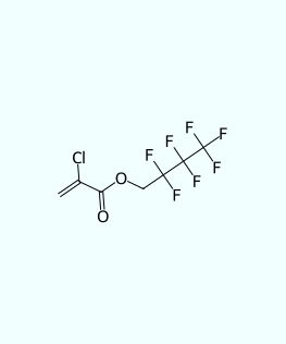 C=C(Cl)C(=O)OCC(F)(F)C(F)(F)C(F)(F)F